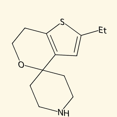 CCc1cc2c(s1)CCOC21CCNCC1